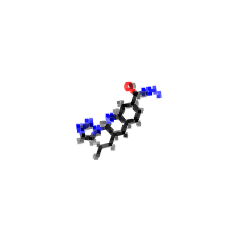 CCCc1cc2ccc(C(N)=O)cc2nc1-n1ccnn1